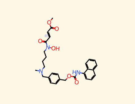 COC(=O)/C=C/C(=O)N(O)CCCCN(C)Cc1ccc(COC(=O)Nc2cccc3ccccc23)cc1